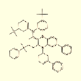 CC(C)(C)c1ccc2c(c1)N(C1=CCCC(C(C)(C)C)C1)C1=C3B2c2ccc(-c4ccccc4)cc2N(C2C=CC=C(c4ccccc4)C2)C3CC(C(C)(C)C2=CCCC=C2)C1